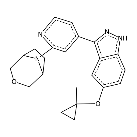 CC1(Oc2ccc3[nH]nc(-c4ccnc(N5C6CCC5COC6)c4)c3c2)CC1